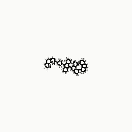 c1cnc2c(c1)ccc1ccc(-c3ccc(-c4c5ccccc5c(-c5cc6cccc7c8cccc9ccc%10cccc(c%11cccc5c%11c67)c%10c98)c5ccccc45)cc3)nc12